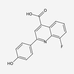 O=C(O)c1cc(-c2ccc(O)cc2)nc2c(F)cccc12